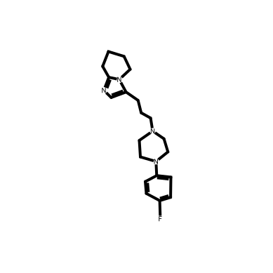 Fc1ccc(N2CCN(CCCc3cnc4n3CCCC4)CC2)cc1